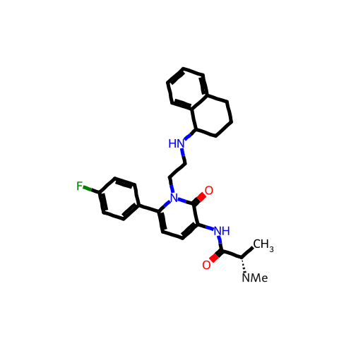 CN[C@@H](C)C(=O)Nc1ccc(-c2ccc(F)cc2)n(CCNC2CCCc3ccccc32)c1=O